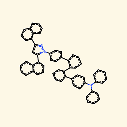 c1ccc(N(c2ccccc2)c2ccc(-c3ccccc3-c3ccccc3-c3ccc(-n4nc(-c5cccc6ccccc56)cc4-c4cccc5ccccc45)cc3)cc2)cc1